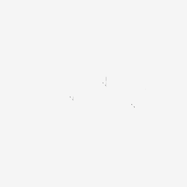 COCCN1CCC(Nc2ccnc(C(C)(C)C)c2)CC1